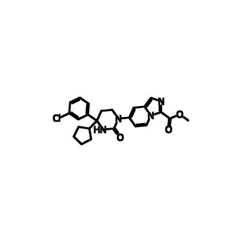 COC(=O)c1ncc2cc(N3CCC(c4cccc(Cl)c4)(C4CCCC4)NC3=O)ccn12